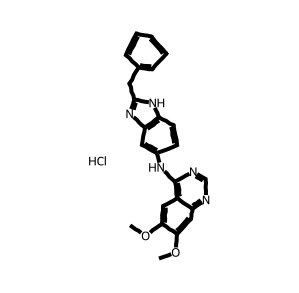 COc1cc2ncnc(Nc3ccc4[nH]c(Cc5ccccc5)nc4c3)c2cc1OC.Cl